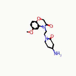 COc1ccc2c(c1)N(CCN1CCC(N)CC1=O)C(=O)CO2